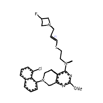 COc1nc2c(c(N(C)CCS/C=C/CN3CC(F)C3)n1)CCN(c1cccc3cccc(Cl)c13)C2